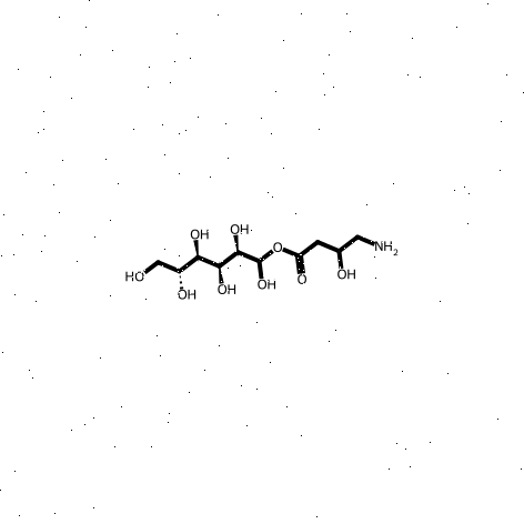 NCC(O)CC(=O)OC(O)[C@H](O)[C@@H](O)[C@H](O)[C@H](O)CO